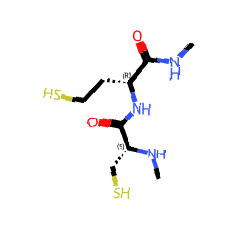 CNC(=O)[C@@H](CCS)NC(=O)[C@@H](CS)NC